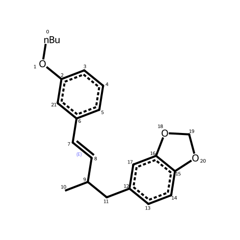 CCCCOc1cccc(/C=C/C(C)Cc2ccc3c(c2)OCO3)c1